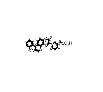 COc1ccccc1-c1ccnc2cc(O[C@H](C)C(=O)N3CCC[C@H](CC(=O)O)C3)ccc12